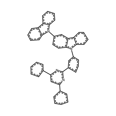 c1ccc(-c2cc(-c3ccccc3)nc(-c3cccc(-n4c5ccccc5c5cc(-n6c7ccccc7c7ccccc76)ccc54)c3)n2)cc1